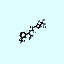 O=C(NC1CC(O)(C(F)(F)F)C1)NC(c1cccc(C(F)(F)F)c1)C(F)F